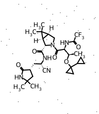 C[C@@H](OC1(C2CC2)CC1)[C@H](NC(=O)C(F)(F)F)C(=O)N1C[C@H]2[C@@H]([C@H]1C(=O)N[C@H](C#N)C[C@@H]1CC(C)(C)NC1=O)C2(C)C